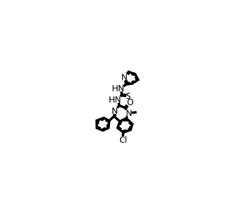 CN1C(=O)C(NC(=S)Nc2ccccn2)N=C(c2ccccc2)c2cc(Cl)ccc21